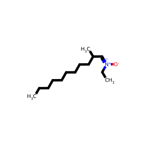 CCCCCCCCCC(C)/C=[N+](/[O-])CC